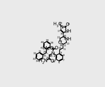 COC(=O)N(c1ccccc1CC[C@@H]1CN[C@H](c2cn(C)c(=O)[nH]2)CO1)[C@H](C(N)=O)C(c1ccccc1)c1ccccc1